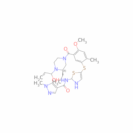 C=CC(O)N1CCN(C(=O)c2cc(SC3=CNC(NC(=O)c4cnn(C)c4)S3)c(C)cc2OC)C[C@H]1CC